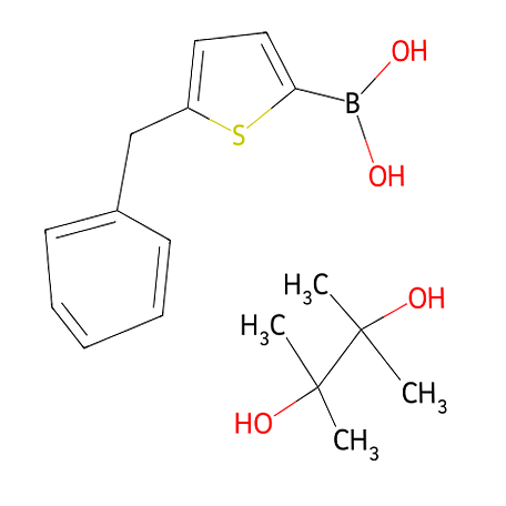 CC(C)(O)C(C)(C)O.OB(O)c1ccc(Cc2ccccc2)s1